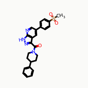 CS(=O)(=O)c1ccc(-c2cnc3[nH]nc(C(=O)N4CCC(c5ccccc5)CC4)c3c2)cc1